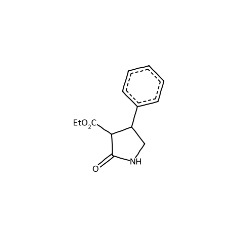 CCOC(=O)C1C(=O)NCC1c1ccccc1